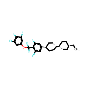 CC[C@H]1CC[C@H]([C@H]2CC[C@H](c3cc(F)c(C(F)(F)Oc4cc(F)c(F)c(F)c4)c(F)c3)CC2)CC1